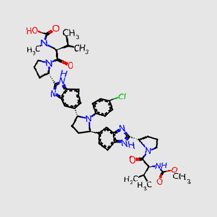 COC(=O)N[C@H](C(=O)N1CCC[C@H]1c1nc2cc([C@H]3CC[C@H](c4ccc5[nH]c([C@@H]6CCCN6C(=O)[C@H](C(C)C)N(C)C(=O)O)nc5c4)N3c3ccc(Cl)cc3)ccc2[nH]1)C(C)C